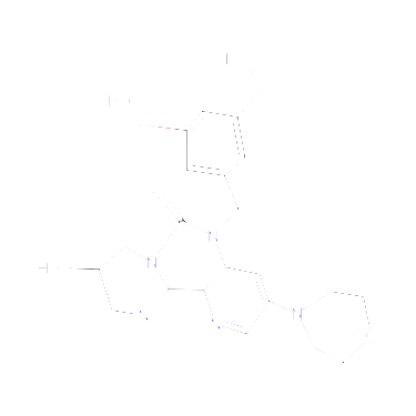 COc1cc(CN2C(=O)N3CC(C)CN=C3c3ncc(N4CCOCC4)cc32)cc(OC)c1